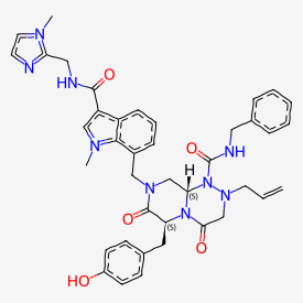 C=CCN1CC(=O)N2[C@@H](Cc3ccc(O)cc3)C(=O)N(Cc3cccc4c(C(=O)NCc5nccn5C)cn(C)c34)C[C@@H]2N1C(=O)NCc1ccccc1